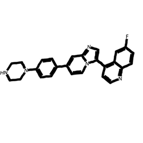 Fc1ccc2nccc(-c3cnc4cc(-c5ccc(N6CCNCC6)cc5)ccn34)c2c1